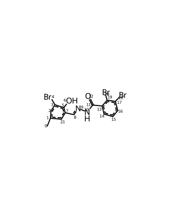 Cc1cc(Br)c(O)c(/C=N/NC(=O)c2cccc(Br)c2Br)c1